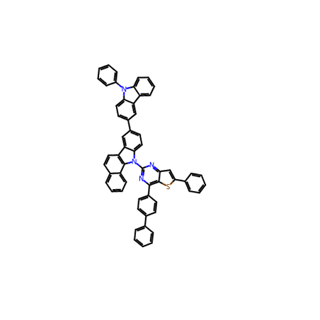 c1ccc(-c2ccc(-c3nc(-n4c5ccc(-c6ccc7c(c6)c6ccccc6n7-c6ccccc6)cc5c5ccc6ccccc6c54)nc4cc(-c5ccccc5)sc34)cc2)cc1